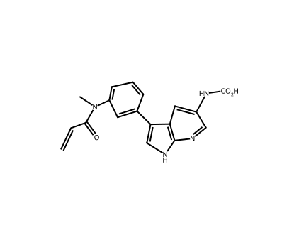 C=CC(=O)N(C)c1cccc(-c2c[nH]c3ncc(NC(=O)O)cc23)c1